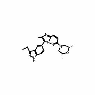 CCc1n[nH]c2ccc(-c3c(C)nc4ccc(N5C[C@@H](C)O[C@@H](C)C5)nn34)cc12